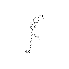 CCCCCCCC(CCOS(=O)(=O)c1ccc(C)cc1)OC